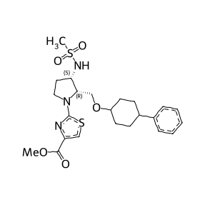 COC(=O)c1csc(N2CC[C@H](NS(C)(=O)=O)[C@@H]2COC2CCC(c3ccccc3)CC2)n1